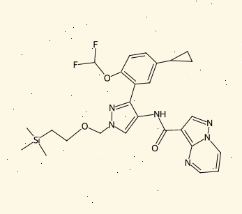 C[Si](C)(C)CCOCn1cc(NC(=O)c2cnn3cccnc23)c(-c2cc(C3CC3)ccc2OC(F)F)n1